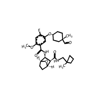 COc1cc(F)c(O[C@H]2CC[C@@](C)(C=O)CC2)cc1C(=O)N[C@H]1[C@@H](C(=O)NCC2(C)CCC2)[C@H]2CC[C@@H]1O2